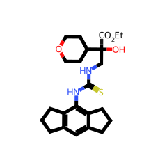 CCOC(=O)C(O)(CNC(=S)Nc1c2c(cc3c1CCC3)CCC2)C1CCOCC1